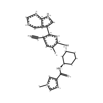 Cn1cnc(C(=O)N[C@@H]2CCC[C@@H](Nc3nc(-c4c[nH]c5ncncc45)c(C#N)cc3F)C2)c1